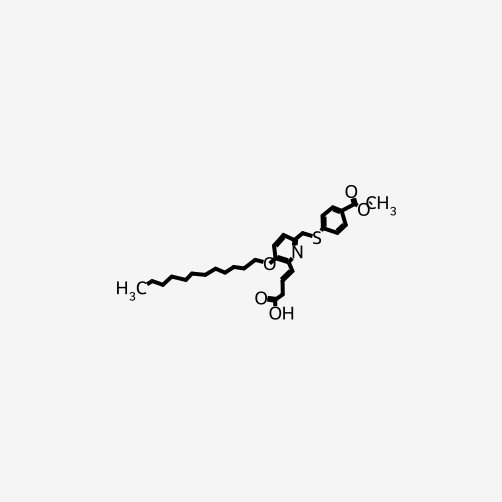 CCCCCCCCCCCCOc1ccc(CSc2ccc(C(=O)OC)cc2)nc1C=CCC(=O)O